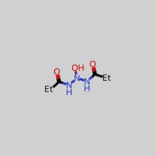 CCC(=O)NN(O)NC(=O)CC